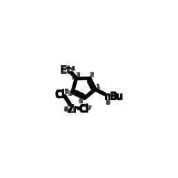 CCCCC1=C[C](CC)C=C1.[Cl][Zr][Cl]